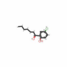 CCCCCCC(=O)c1cc(Cl)ccc1O